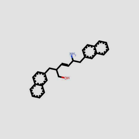 NC(/C=C/C(CO)Cc1ccc2ccccc2c1)Cc1ccc2ccccc2c1